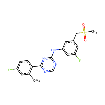 COc1cc(F)ccc1-c1ncnc(Nc2cc(F)cc(CS(C)(=O)=O)c2)n1